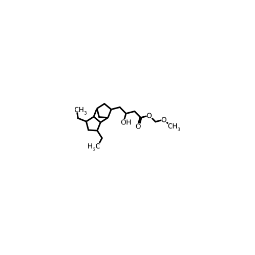 CCC1CC(CC)C2C3CC(CC3CC(O)CC(=O)OCOC)C12